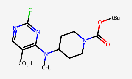 CN(c1nc(Cl)ncc1C(=O)O)C1CCN(C(=O)OC(C)(C)C)CC1